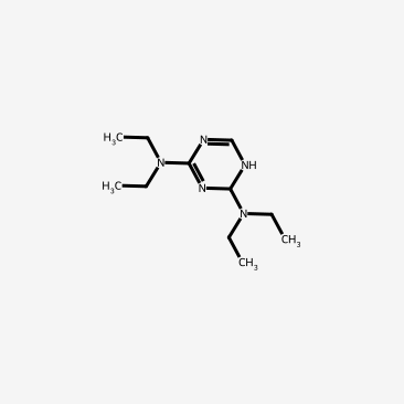 CCN(CC)[C]1N=C(N(CC)CC)N=CN1